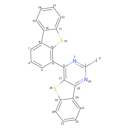 Ic1nc(-c2cccc3c2sc2ccccc23)c2sc3ccccc3c2n1